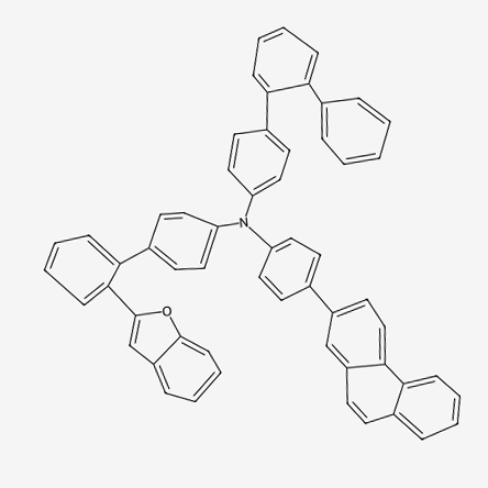 c1ccc(-c2ccccc2-c2ccc(N(c3ccc(-c4ccc5c(ccc6ccccc65)c4)cc3)c3ccc(-c4ccccc4-c4cc5ccccc5o4)cc3)cc2)cc1